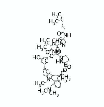 C/C=C(\C)C/C=C/C(=O)Nc1cnc(C(=O)N(C)[C@H](C(=O)N[C@H]2Cc3cc(O)cc(c3)-c3ccc4c(c3)c(c(-c3ccccc3CN(C)C)n4CC)CC(C)(C)COC(=O)[C@@H]3CCCN(N3)C2=O)C(C)C)s1